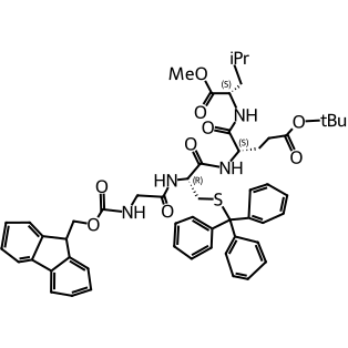 COC(=O)[C@H](CC(C)C)NC(=O)[C@H](CCC(=O)OC(C)(C)C)NC(=O)[C@H](CSC(c1ccccc1)(c1ccccc1)c1ccccc1)NC(=O)CNC(=O)OCC1c2ccccc2-c2ccccc21